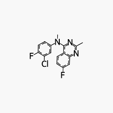 Cc1nc(N(C)c2ccc(F)c(Cl)c2)c2ccc(F)cc2n1